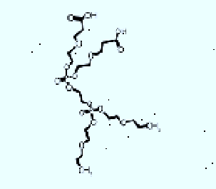 CCCOCCOP(=O)(OCCOCCC)OCCOP(=O)(OCCOCCC(=O)O)OCCOCCC(=O)O